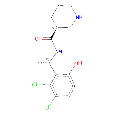 C[C@H](NC(=O)[C@H]1CCCNC1)c1c(O)ccc(Cl)c1Cl